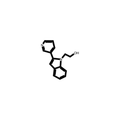 OCCn1c(-c2cccnc2)cc2ccccc21